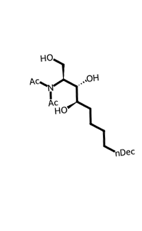 CCCCCCCCCCCCCC[C@@H](O)[C@@H](O)[C@H](CO)N(C(C)=O)C(C)=O